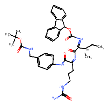 CC[C@H](C)C(=NC(=O)OC1c2ccccc2-c2ccccc21)C(=O)N=C(CCCNC(N)=O)C(=O)Nc1ccc(CNC(=O)OC(C)(C)C)cc1